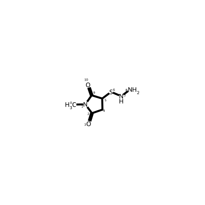 CN1C(=O)CC(SNN)C1=O